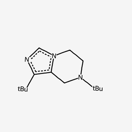 CC(C)(C)c1ncn2c1CN(C(C)(C)C)CC2